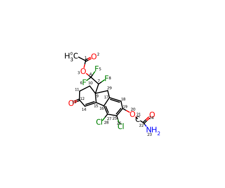 CC(=O)OC(F)(F)C(F)C12CCC(=O)C=C1c1c(cc(OCC(N)=O)c(Cl)c1Cl)C2